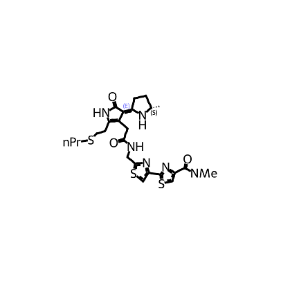 CCCSCCC1=C(CC(=O)NCc2nc(-c3nc(C(=O)NC)cs3)cs2)/C(=C2/CC[C@H](C)N2)C(=O)N1